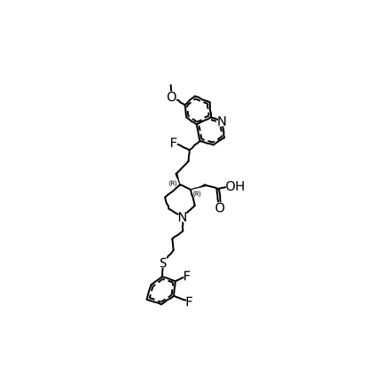 COc1ccc2nccc(C(F)CC[C@@H]3CCN(CCCSc4cccc(F)c4F)C[C@@H]3CC(=O)O)c2c1